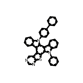 c1ccc(-c2ccc(-n3c4ccccc4c4c5c6cncnc6sc5c5c(c6ccccc6n5-c5ccccc5)c43)cc2)cc1